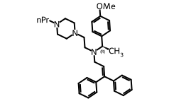 CCCN1CCN(CCN(CC=C(c2ccccc2)c2ccccc2)[C@H](C)c2ccc(OC)cc2)CC1